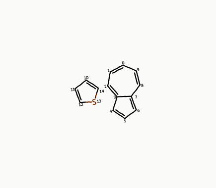 c1ccc2cccc-2cc1.c1ccsc1